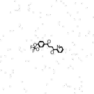 O=C(CCC(=O)c1ccccn1)c1ccc2c(c1)OC(F)(F)O2